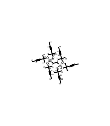 CC#CC(C)(C)O[Si](CC[Si](OC(C)(C)C#CC)(OC(C)(C)C#CC)OC(C)(C)C#CC)(OC(C)(C)C#CC)OC(C)(C)C#CC